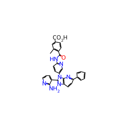 Cc1cc(C(=O)O)ccc1C(=O)Nc1ccc(-n2c(-c3cccnc3N)nc3ccc(-c4ccccc4)nc32)cn1